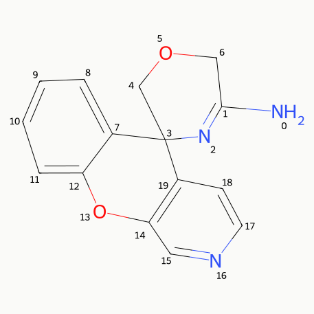 NC1=NC2(COC1)c1ccccc1Oc1cnccc12